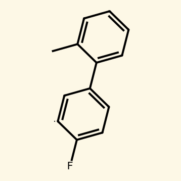 Cc1ccccc1-c1c[c]c(F)cc1